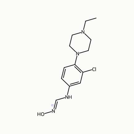 CCN1CCN(c2ccc(N/C=N/O)cc2Cl)CC1